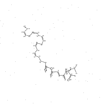 C=C(/C=C/C(=O)OC(=O)CCC/C=C\C/C=C\C/C=C\C/C=C\C/C=C\CC)N[C@@H](CC(C)C)C(C)=O